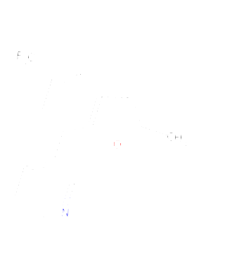 CC1Cc2cc(C(F)(F)F)cc(-c3cccnc3)c2O1